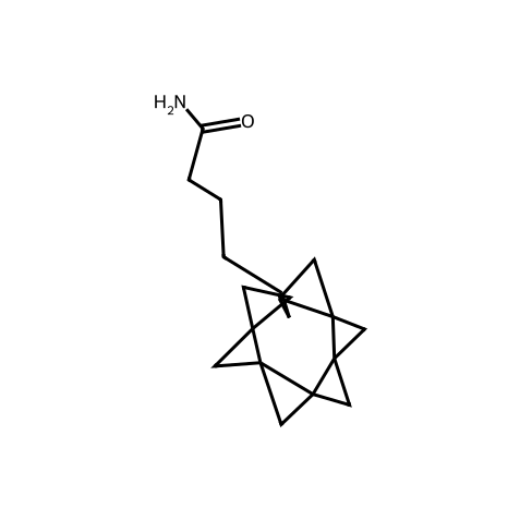 NC(=O)CCCC1CC12CC21CC12CC21CC12CC21CC1